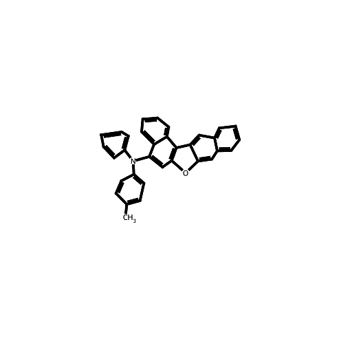 Cc1ccc(N(c2ccccc2)c2cc3oc4cc5ccccc5cc4c3c3ccccc23)cc1